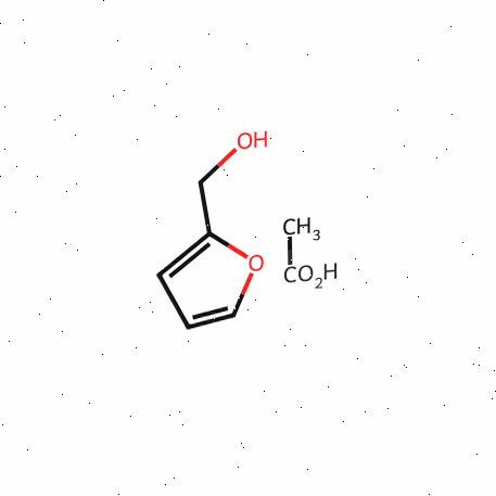 CC(=O)O.OCc1ccco1